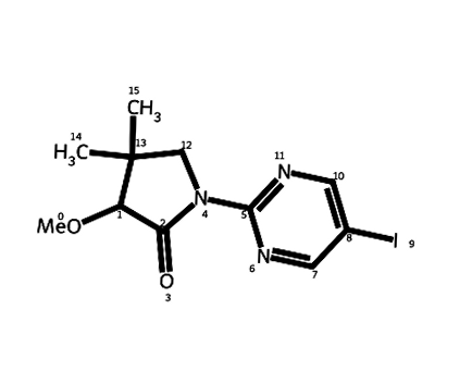 COC1C(=O)N(c2ncc(I)cn2)CC1(C)C